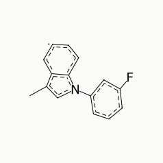 Cc1cn(-c2cccc(F)c2)c2cc[c]cc12